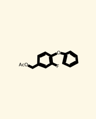 CC(=O)OCc1ccc(Oc2ccccc2)c(F)c1